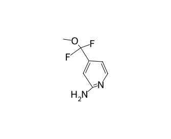 COC(F)(F)c1ccnc(N)c1